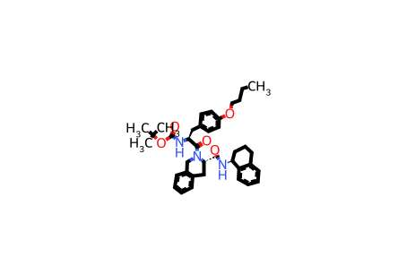 CCCCOc1ccc(C[C@H](NC(=O)OC(C)(C)C)C(=O)N2Cc3ccccc3C[C@H]2C(=O)N[C@@H]2CCCc3ccccc32)cc1